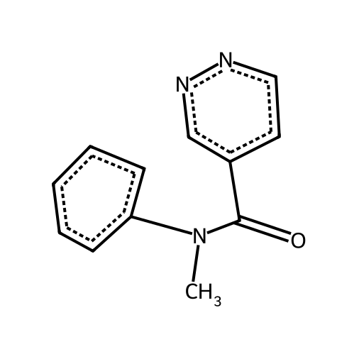 CN(C(=O)c1ccnnc1)c1ccccc1